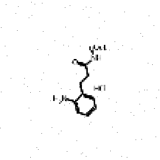 CCCCCCCCNC(=O)CCc1ccccc1N.Cl